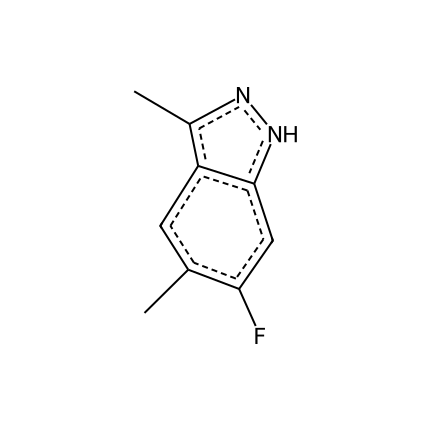 Cc1cc2c(C)n[nH]c2cc1F